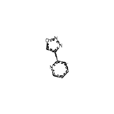 [c]1cccnc1-c1conn1